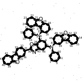 c1ccc(N(c2cc(N(c3ccccc3)c3cccc4oc5ccccc5c34)c3oc(-c4ccc5c(c4)oc4ccccc45)nc3c2)c2ccc3oc4ccccc4c3c2)cc1